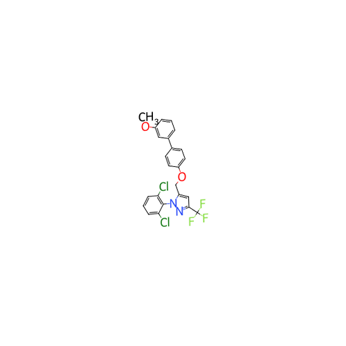 COc1cccc(-c2ccc(OCc3cc(C(F)(F)F)nn3-c3c(Cl)cccc3Cl)cc2)c1